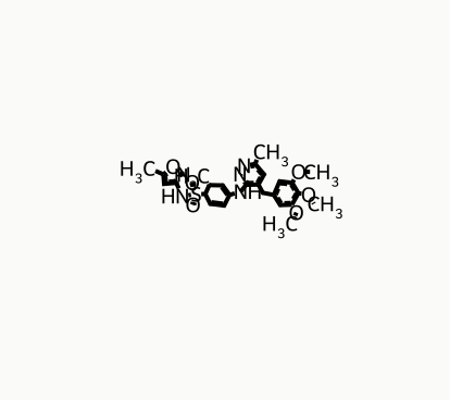 COc1cc(Cc2cc(C)nnc2NC2=CC(C)C(S(=O)(=O)Nc3cc(C)on3)C=C2)cc(OC)c1OC